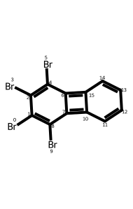 Brc1c(Br)c(Br)c2c(c1Br)=c1ccccc1=2